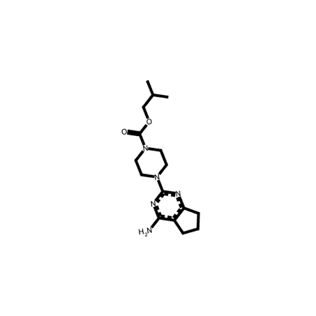 CC(C)COC(=O)N1CCN(c2nc(N)c3c(n2)CCC3)CC1